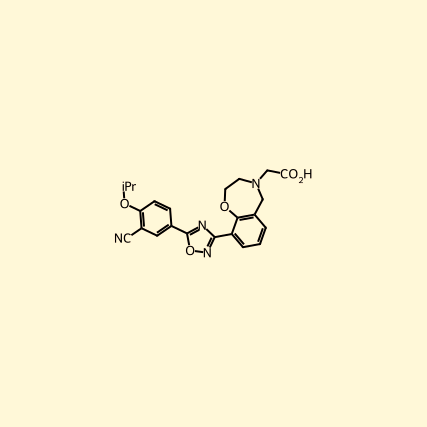 CC(C)Oc1ccc(-c2nc(-c3cccc4c3OCCN(CC(=O)O)C4)no2)cc1C#N